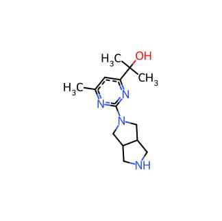 Cc1cc(C(C)(C)O)nc(N2CC3CNCC3C2)n1